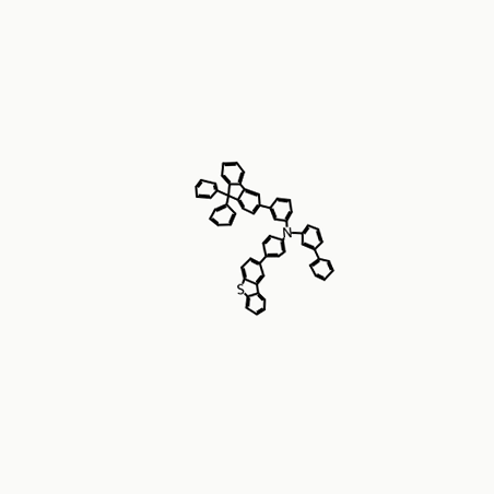 c1ccc(-c2cccc(N(c3ccc(-c4ccc5sc6ccccc6c5c4)cc3)c3cccc(-c4ccc5c(c4)-c4ccccc4C5(c4ccccc4)c4ccccc4)c3)c2)cc1